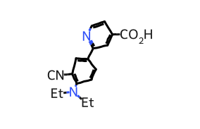 [C-]#[N+]c1cc(-c2cc(C(=O)O)ccn2)ccc1N(CC)CC